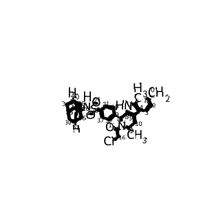 C=C/C=C\c1c(C)[nH]c2c1C[C@H](C)N(C(=O)CCl)[C@H]2c1ccc(S(=O)(=O)N[C@]23CC4C[C@H](C[C@H](C4)C2)C3)cc1